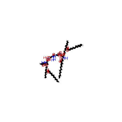 CCCCCCCCCCCC(=O)CC(=O)N[C@H](COCC[C@@H](CCCCCCC)OC(=O)CCCCCCCCCCC)COP(=O)(O)OCCNC(=O)NCCOP(=O)(O)OC[C@@H](COCC[C@@H](CCCCCCC)OC(=O)CCCCCCCCCCC)NC(=O)CC(C)=O